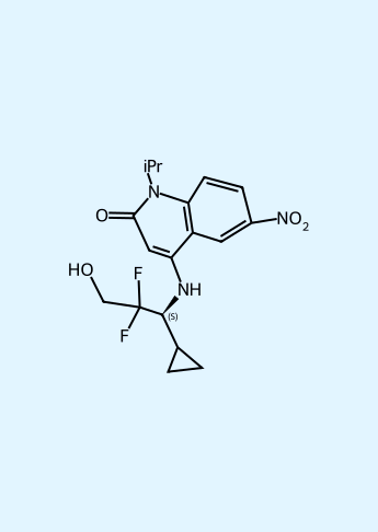 CC(C)n1c(=O)cc(N[C@@H](C2CC2)C(F)(F)CO)c2cc([N+](=O)[O-])ccc21